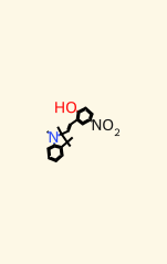 CN1c2ccccc2C(C)(C)C1(C)/C=C/c1cc([N+](=O)[O-])ccc1O